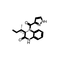 CC[C@H](C)[C@H]1C(=O)Nc2ccccc2N1C(=O)c1cc[nH]n1